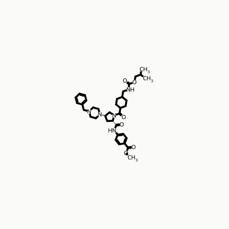 COC(=O)c1ccc(NC(=O)[C@@H]2C[C@H](N3CCN(Cc4ccccc4)CC3)CN2C(=O)C2CCC(CNC(=O)OCC(C)C)CC2)cc1